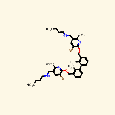 COc1nc(OCc2cccc(-c3cccc(COc4nc(OC)c(CNCCCC(=O)O)cc4Br)c3C)c2C)c(Br)cc1CNCCCC(=O)O